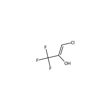 OC(=CCl)C(F)(F)F